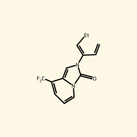 C=C/C(=C\CC)n1cc2c(C(F)(F)F)cccn2c1=O